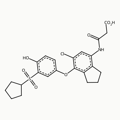 O=C(O)CC(=O)Nc1cc(Cl)c(Oc2ccc(O)c(S(=O)(=O)C3CCCC3)c2)c2c1CCC2